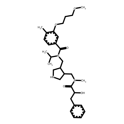 COCCCOc1cc(C(=O)N(CC2CNCC2CN(C)C(=O)C(O)Cc2ccccc2)C(C)C)ccc1C